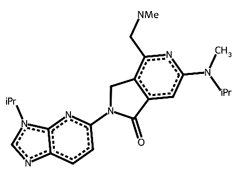 CNCc1nc(N(C)C(C)C)cc2c1CN(c1ccc3ncn(C(C)C)c3n1)C2=O